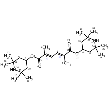 C/C(=C\C=C(/C)C(=O)OC1CC(C)(C)NC(C)(C)C1)C(=O)OC1CC(C)(C)NC(C)(C)C1